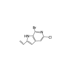 C=Cc1cc2cc(Cl)nc(Br)c2[nH]1